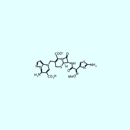 CO/N=C(\C(=O)N[C@@H]1C(=O)N2C(C(=O)[O-])=C(Cn3cc(C(=O)O)c(N)[n+]4nccc3-4)CS[C@H]12)c1csc(N)n1